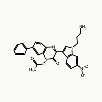 CC(=O)On1c(=O)c(-c2cn(CCCN)c3cc([N+](=O)[O-])ccc23)nc2ccc(-c3ccccc3)cc21